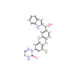 O=C1NCC=NN1c1cc(Cl)c(Cc2ccc(C(O)c3cc4ccccc4[nH]3)cc2)c(Cl)c1